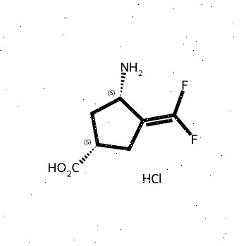 Cl.N[C@H]1C[C@@H](C(=O)O)CC1=C(F)F